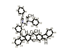 C=N/C(=N\C(=N/Cc1ccccc1)c1cccc(-n2c3ccccc3c3cc4c(cc32)C(C)(C)c2cc3c(cc2O4)[nH]c2ccccc23)c1)c1ccccc1